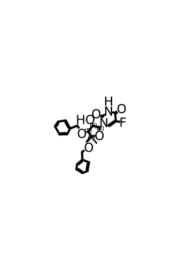 C[C@]1(COCc2ccccc2)O[C@@H](n2cc(F)c(=O)[nH]c2=O)[C@H](O)[C@@H]1OCc1ccccc1